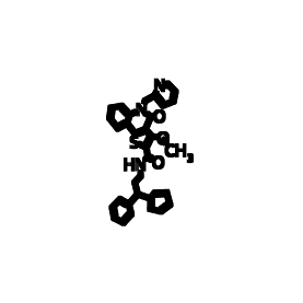 COc1c(C(=O)NCCC(c2ccccc2)c2ccccc2)sc2c1c(=O)n(Cc1ccccn1)c1ccccc21